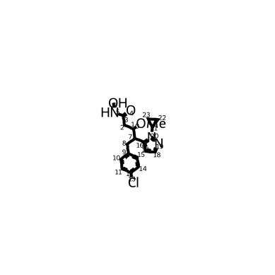 COC(CC(=O)NO)C(Cc1ccc(Cl)cc1)c1ccnn1C1CC1